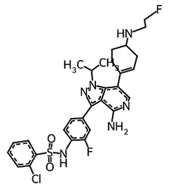 CC(C)n1nc(-c2ccc(NS(=O)(=O)c3ccccc3Cl)c(F)c2)c2c(N)ncc(C3=CCC(NCCF)CC3)c21